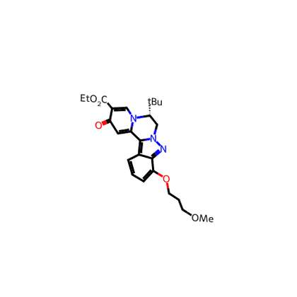 CCOC(=O)c1cn2c(cc1=O)-c1c3cccc(OCCCOC)c3nn1C[C@H]2C(C)(C)C